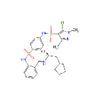 Cc1nn(C)c(Cl)c1S(=O)(=O)Nc1ccc(S(=O)(=O)Nc2ccccc2CN[C@@H](C)CC2CCCC2)cc1